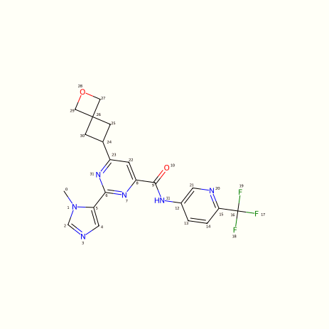 Cn1cncc1-c1nc(C(=O)Nc2ccc(C(F)(F)F)nc2)cc(C2CC3(COC3)C2)n1